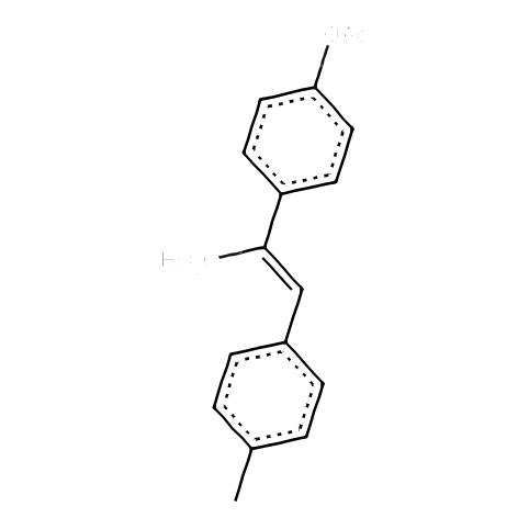 CC(=O)Oc1ccc(C(=Cc2ccc(C)cc2)C(=O)O)cc1